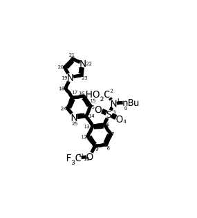 CCCCN(C(=O)O)S(=O)(=O)c1ccc(OC(F)(F)F)cc1-c1ccc(Cn2ccnc2)cn1